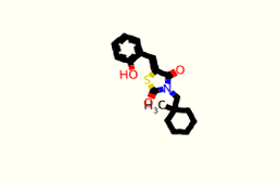 CC1(CN2C(=O)SC(=Cc3ccccc3O)C2=O)CCCCC1